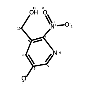 O=[N+]([O-])c1ncc(Cl)cc1CO